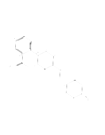 CCC[C@H]1CC[C@H](CCC2CCC(c3ccccc3C(=O)Cl)CC2)CC1